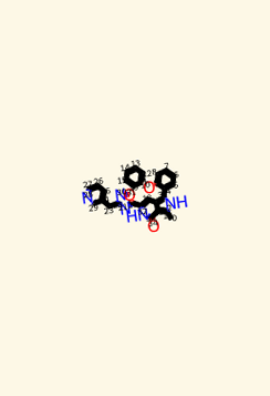 Cc1[nH]c(-c2ccccc2Oc2ccccc2)c2cc(-c3nc(Cc4cccnc4)no3)[nH]c(=O)c12